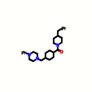 CC(C)CC1CCN(C(=O)C2CCC(CN3CCN(C(C)C)CC3)CC2)CC1